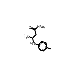 CNC(=O)CC(Nc1ccc(F)cc1)C(F)(F)F